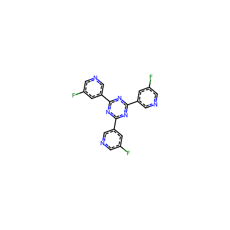 Fc1cncc(-c2nc(-c3cncc(F)c3)nc(-c3cncc(F)c3)n2)c1